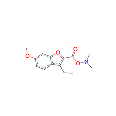 CCc1c(C(=O)ON(C)C)oc2cc(OC)ccc12